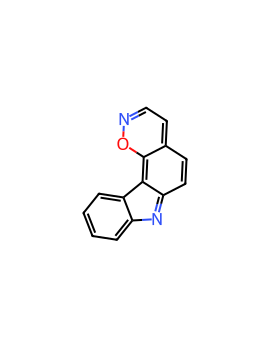 c1ccc2c(c1)nc1ccc3ccnoc3c12